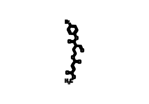 COC(=O)C=CC(=O)OCCC(C=O)C(=O)Oc1ccc(Br)cc1